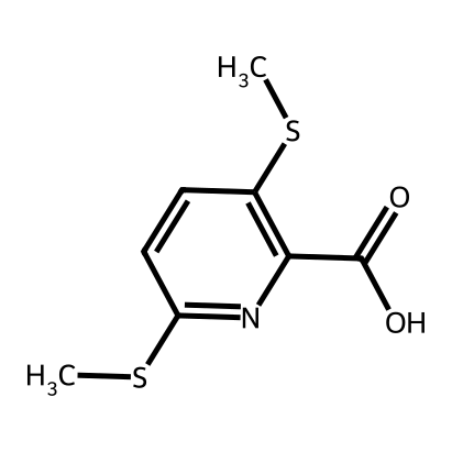 CSc1ccc(SC)c(C(=O)O)n1